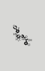 Cc1cnc(Nc2ccc(F)c(N3CCOCC3)c2)nc1-n1ccc(C(=O)NC(CO)c2cccc(Cl)c2)c1